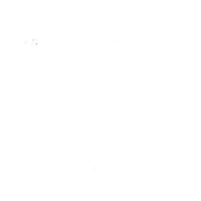 C#CCOCC1CNCC1C(=O)OCC#C